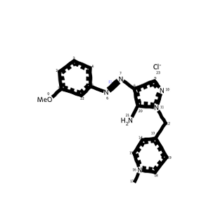 COc1cccc(/N=N/c2cnn(Cc3cc[n+](C)cc3)c2N)c1.[Cl-]